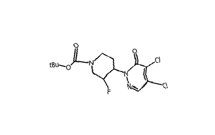 CC(C)(C)OC(=O)N1CCC(n2ncc(Cl)c(Cl)c2=O)C(F)C1